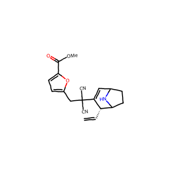 C=C[C@@H]1C(C(C#N)(C#N)Cc2ccc(C(=O)OC)o2)=CC2CCC1N2